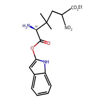 CCOC(=O)C(CC(C)(C)[C@H](N)C(=O)Oc1cc2ccccc2[nH]1)[N+](=O)[O-]